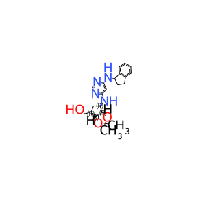 CC1(C)O[C@@H]2[C@@H](CO)C[C@@H](Nc3cc(NC4CCc5ccccc54)ncn3)[C@@H]2O1